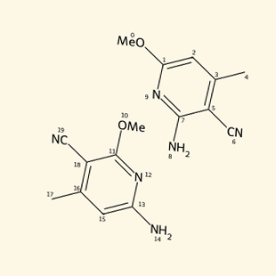 COc1cc(C)c(C#N)c(N)n1.COc1nc(N)cc(C)c1C#N